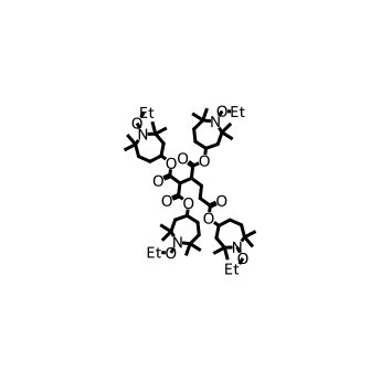 CCON1C(C)(C)CCC(OC(=O)CCC(C(=O)OC2CCC(C)(C)N(OCC)C(C)(C)C2)C(C(=O)OC2CCC(C)(C)N(OCC)C(C)(C)C2)C(=O)OC2CCC(C)(C)N(OCC)C(C)(C)C2)CC1(C)C